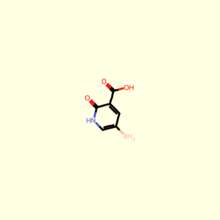 Bc1c[nH]c(=O)c(C(=O)O)c1